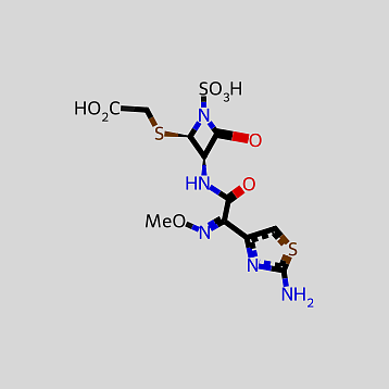 CON=C(C(=O)N[C@@H]1C(=O)N(S(=O)(=O)O)[C@@H]1SCC(=O)O)c1csc(N)n1